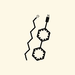 CCCCCCCC[O].N#Cc1ccc(-c2ccccc2)cc1